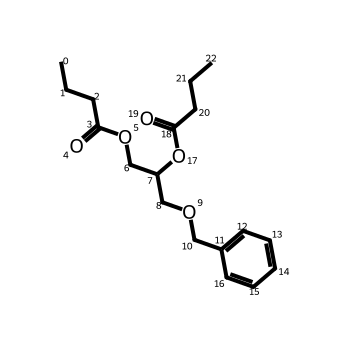 CCCC(=O)OCC(COCc1ccccc1)OC(=O)CCC